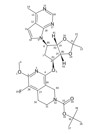 COc1nc(O[C@H]2C[C@@H](n3ccc4c(C)ncnc43)[C@@H]3OC(C)(C)O[C@@H]32)c2c(c1F)CCN(C(=O)OC(C)(C)C)C2